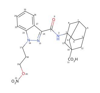 O=C(NC12CC3CC(C1)CC(C(=O)O)(C3)C2)c1nn(CCCO[N+](=O)[O-])c2ccccc12